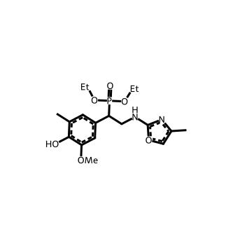 CCOP(=O)(OCC)C(CNc1nc(C)co1)c1cc(C)c(O)c(OC)c1